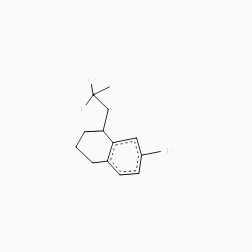 Cc1ccc2c(c1)C(CC(F)(F)C(F)(F)F)CCC2